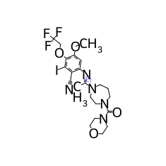 COc1cc(/N=C(\C)N2CCCN(C(=O)N3CCOCC3)CC2)c(C#N)c(I)c1OCC(F)(F)F